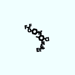 CCN(C)C=Nc1cc(C)c(N(C)c2ccc(OC(F)F)cc2)cc1Cl